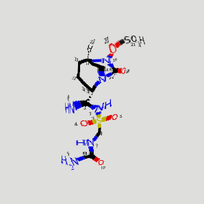 N=C(NS(=O)(=O)CNC(N)=O)[C@@H]1CC[C@@H]2CN1C(=O)N2OS(=O)(=O)O